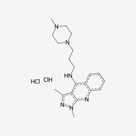 Cc1nn(C)c2nc3ccccc3c(NCCCN3CCN(C)CC3)c12.Cl.Cl